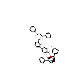 N#Cc1c(-n2c3ccccc3c3ccccc32)c(-n2c3ccccc3c3ccccc32)cc2c1oc1c(-c3nc(-c4ccccc4)cc(-c4ccccc4)n3)cccc12